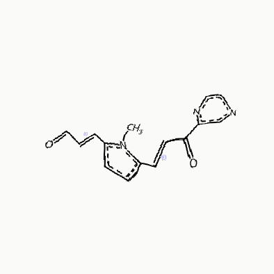 Cn1c(/C=C/C=O)ccc1/C=C/C(=O)c1cnccn1